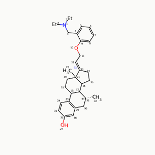 CCN(CC)Cc1ccccc1OC/C=C1\CCC2C3C(CCC12C)c1ccc(O)cc1C[C@H]3C